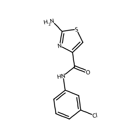 Nc1nc(C(=O)Nc2cccc(Cl)c2)cs1